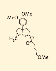 COCCCCC(=O)OC1=CC2N(C)CCC2(c2ccc(OC)c(OC)c2)CC1